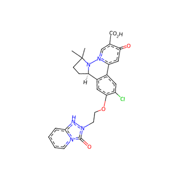 CC1(C)CC[C@@H]2c3cc(OCCn4[nH]c5cccc[n+]5c4=O)c(Cl)cc3-c3cc(=O)c(C(=O)O)cn3N21